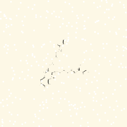 C=CC(=O)NCCCCOc1nc2ccccc2nc1OCCCCNC(=O)C=C